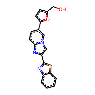 OCc1ccc(-c2ccc3nc(-c4nc5ccccc5s4)cn3c2)o1